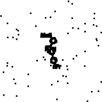 CCCc1ccc(-c2cnc3c(-c4cccc(SC)c4)cnn3c2)cc1